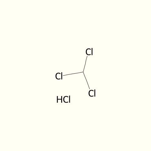 Cl.ClC(Cl)Cl